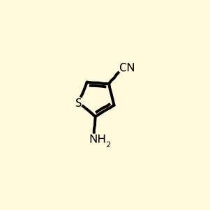 N#Cc1csc(N)c1